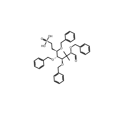 CC(C)([C@@H](OCc1ccccc1)[C@H](OCc1ccccc1)[C@@H](CCP(=O)(O)O)OCc1ccccc1)N(C=O)OCc1ccccc1